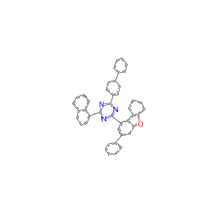 c1ccc(-c2ccc(-c3nc(-c4cccc5ccccc45)nc(-c4cc(-c5ccccc5)cc5oc6ccccc6c45)n3)cc2)cc1